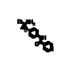 CC[C@]1(N)C[C@H]1c1ccc(NC(=O)c2ccncc2)cc1